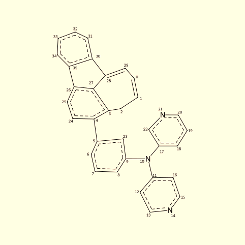 C1=CCc2c(-c3cccc(N(c4ccncc4)c4cccnc4)c3)ccc3c2C(=C1)c1ccccc1-3